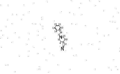 N#CCC1CCN(CCc2ccccc2)CC1